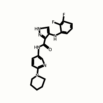 O=C(Nc1ccc(N2CCCCC2)nc1)c1n[nH]cc1Nc1cccc(F)c1F